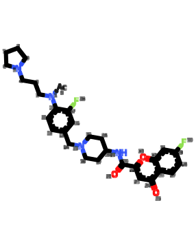 CC(=O)N(CCCN1CCCC1)c1ccc(CN2CCC(NC(=O)c3cc(=O)c4ccc(F)cc4o3)CC2)cc1F